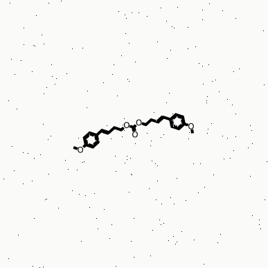 COc1ccc(C=CCCOC(=O)OCCC=Cc2ccc(OC)cc2)cc1